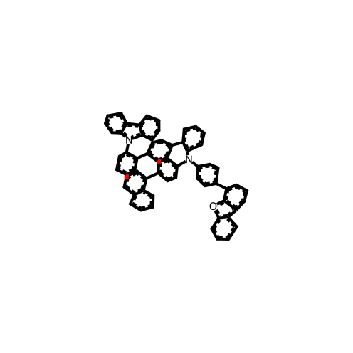 c1ccc(N(c2ccc(-c3cccc4ccccc34)cc2)c2ccc(-c3cccc4c3oc3ccccc34)cc2)c(-c2ccc(-c3ccccc3-n3c4ccccc4c4ccccc43)cc2)c1